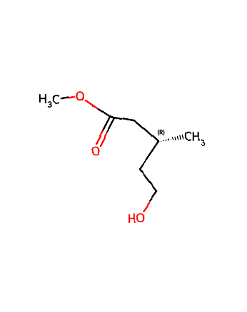 COC(=O)C[C@H](C)CCO